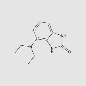 CCN(CC)c1cccc2[nH]c(=O)[nH]c12